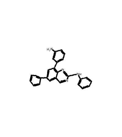 Nc1cccc(-c2cc(-c3ccccc3)cc3cnc(Nc4ccccc4)nc23)c1